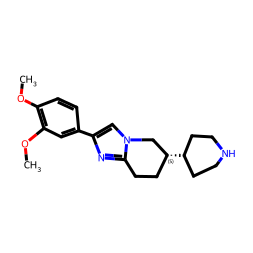 COc1ccc(-c2cn3c(n2)CC[C@@H](C2CCNCC2)C3)cc1OC